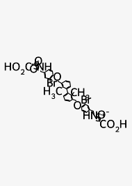 Cc1c(COc2ccc(CN[S+]([O-])CC(=O)O)cc2Br)cccc1-c1cccc(COc2ccc(CNS(=O)(=O)CC(=O)O)cc2Br)c1C